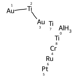 [AlH3].[Au][Ti][Au].[Cr].[Pt].[Ru].[Ti].[Ti]